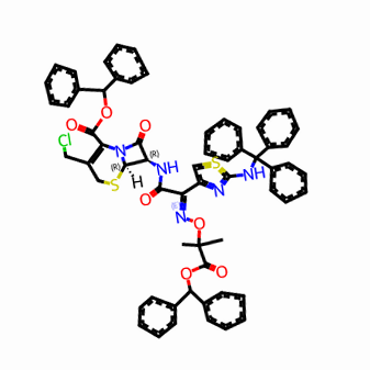 CC(C)(O/N=C(/C(=O)N[C@@H]1C(=O)N2C(C(=O)OC(c3ccccc3)c3ccccc3)=C(CCl)CS[C@H]12)c1csc(NC(c2ccccc2)(c2ccccc2)c2ccccc2)n1)C(=O)OC(c1ccccc1)c1ccccc1